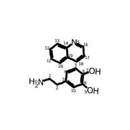 NCCc1ccc(O)c(O)c1.c1ccc2ncccc2c1